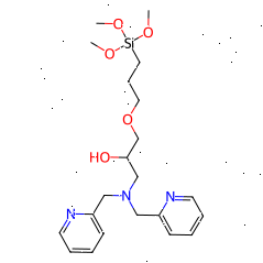 CO[Si](CCCOCC(O)CN(Cc1ccccn1)Cc1ccccn1)(OC)OC